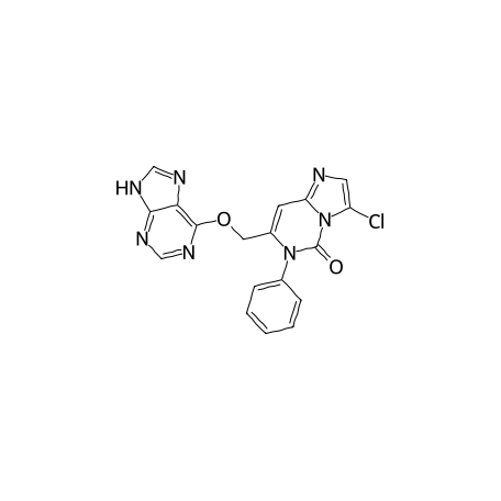 O=c1n(-c2ccccc2)c(COc2ncnc3[nH]cnc23)cc2ncc(Cl)n12